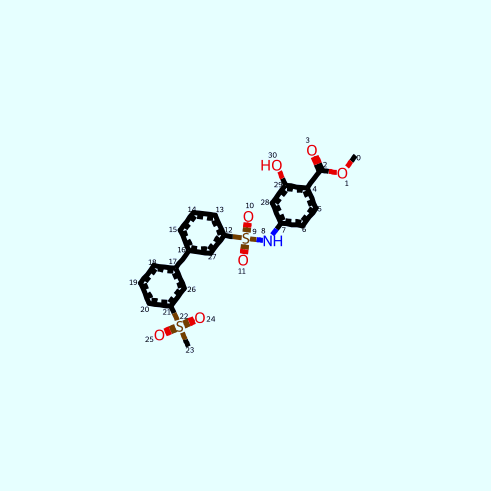 COC(=O)c1ccc(NS(=O)(=O)c2cccc(-c3cccc(S(C)(=O)=O)c3)c2)cc1O